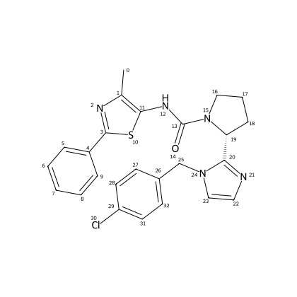 Cc1nc(-c2ccccc2)sc1NC(=O)N1CCC[C@@H]1c1nccn1Cc1ccc(Cl)cc1